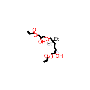 C=CC(=O)OC/C(O)=C\CCC(CC)(CC)COCC(O)COC(=O)C=C